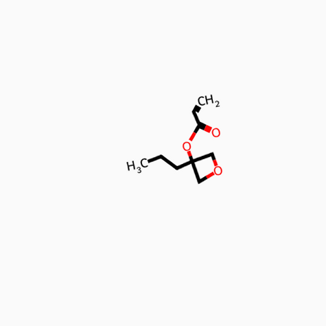 C=CC(=O)OC1(CCC)COC1